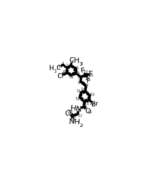 CCc1c(C)cc(C(/C=C/c2ccc(C(=O)NCC(N)=O)c(Br)c2)C(F)(F)F)cc1Cl